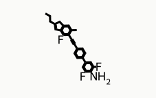 CCCC1=Cc2c(cc(C)c(C#Cc3ccc(-c4cc(F)c(N)c(F)c4)cc3)c2F)C1